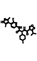 Cc1n[nH]c(C)c1-c1ccc(NC(=O)C(NC(=O)c2conc2C(C)C)C2CCC(C)CC2)nc1F